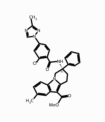 COC(=O)c1c2n(c3ccc(C)cc13)C[C@@](NC(=O)c1ccc(-n3cnc(C)n3)cc1Cl)(c1ccccc1)CC2